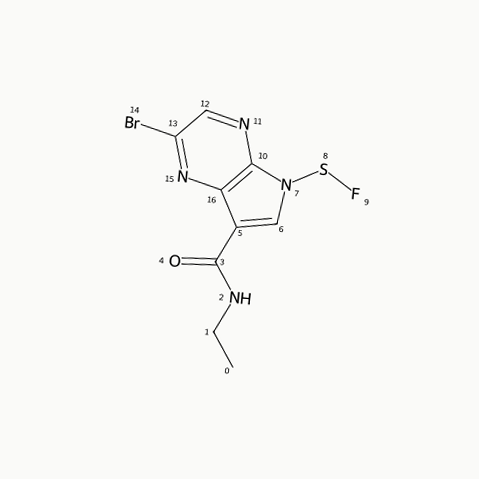 CCNC(=O)c1cn(SF)c2ncc(Br)nc12